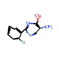 Nc1cnc(-c2ccccc2Cl)nc1O